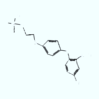 CC(C)(C)[Si](C)(C)OCCOc1ccc(Oc2ccc(Cl)cc2C=O)cc1